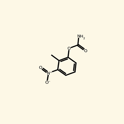 Cc1c(OC(N)=O)cccc1[N+](=O)[O-]